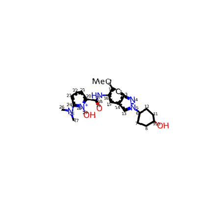 COc1cc2nn(C3CCC(O)CC3)cc2cc1NC(=O)c1cccc(N(C)C)[n+]1O